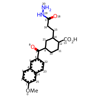 COc1ccc2cc(C(=O)C3CCC(C(=O)O)C(CCC(=O)NN)C3)ccc2c1